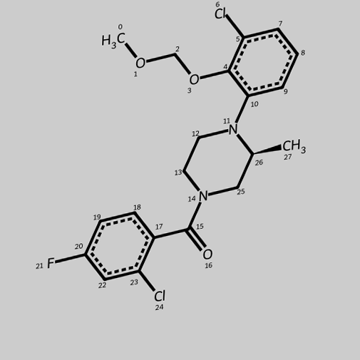 COCOc1c(Cl)cccc1N1CCN(C(=O)c2ccc(F)cc2Cl)C[C@@H]1C